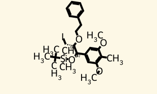 COc1cc([C@@H](O[Si](C)(C)C(C)(C)C)[C@H](CI)OCCc2ccccc2)cc(OC)c1C